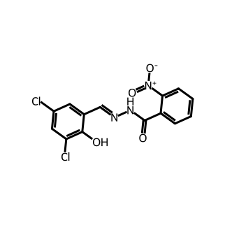 O=C(N/N=C/c1cc(Cl)cc(Cl)c1O)c1ccccc1[N+](=O)[O-]